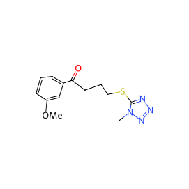 COc1cccc(C(=O)CCCSc2nnnn2C)c1